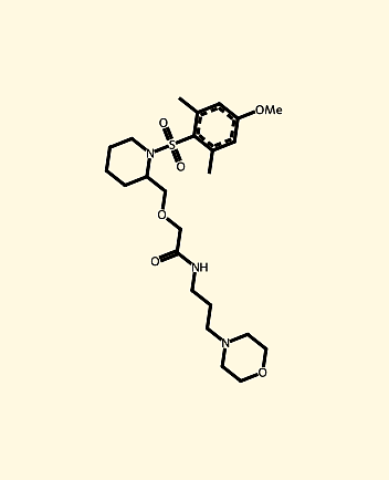 COc1cc(C)c(S(=O)(=O)N2CCCCC2COCC(=O)NCCCN2CCOCC2)c(C)c1